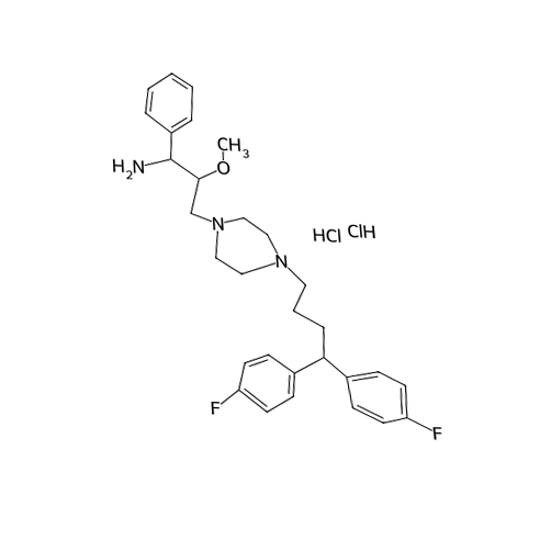 COC(CN1CCN(CCCC(c2ccc(F)cc2)c2ccc(F)cc2)CC1)C(N)c1ccccc1.Cl.Cl